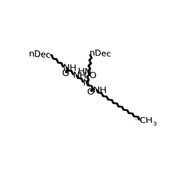 C/C=C/CCCCCCCCCCCCCCCNC(=O)CCN(CCCNCCC(=O)NCCCCCCCCCCCCCCCC)CCC(=O)NCCCCCCCCCCCCCCCC